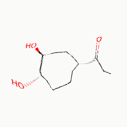 CC(=O)[C@@H]1CC[C@H](O)[C@@H](O)C1